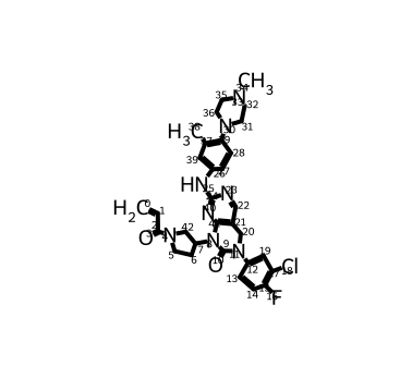 C=CC(=O)N1CCC(N2C(=O)N(c3ccc(F)c(Cl)c3)Cc3cnc(Nc4ccc(N5CCN(C)CC5)c(C)c4)nc32)C1